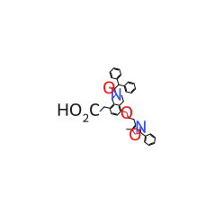 Cc1oc(-c2ccccc2)nc1CCOc1ccc(CCC(=O)O)c2c1CCN(C(=O)C(c1ccccc1)c1ccccc1)C2